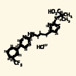 CC(C)(Sc1nc(CCCNc2ncc(-c3cccc(C(F)(F)F)c3)cn2)cs1)C(=O)O.Cl